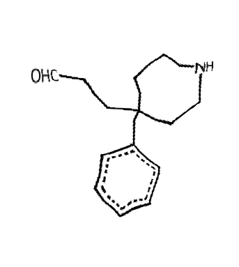 O=CCCC1(c2ccccc2)CCNCC1